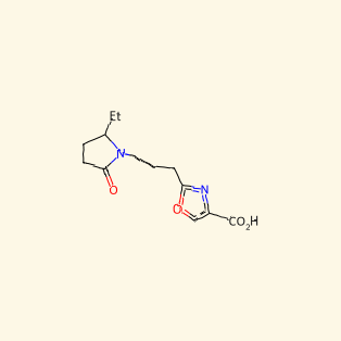 CCC1CCC(=O)N1CCCc1nc(C(=O)O)co1